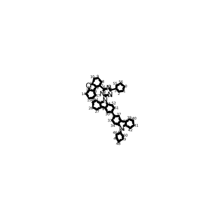 c1ccc(-c2nc(-c3cccc4oc5ccccc5c34)nc(-n3c4ccccc4c4cc(-c5ccc6c(c5)c5ccccc5n6-c5ccccc5)ccc43)n2)cc1